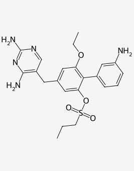 CCCS(=O)(=O)Oc1cc(Cc2cnc(N)nc2N)cc(OCC)c1-c1cccc(N)c1